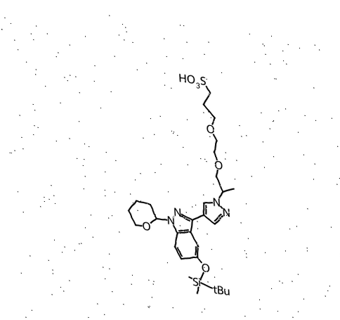 CC(COCCOCCCS(=O)(=O)O)n1cc(-c2nn(C3CCCCO3)c3ccc(O[Si](C)(C)C(C)(C)C)cc23)cn1